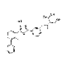 Cc1c(-c2ccccc2)cccc1-c1nnc(-c2cccc(CNC(CO)C(=O)O)c2)o1.Cl